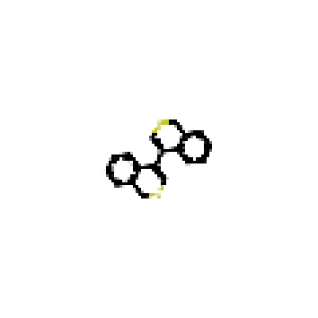 C1=C(C2=CSCc3ccccc32)c2ccccc2CS1